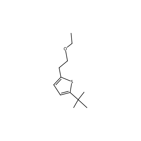 CCOCCc1ccc(C(C)(C)C)s1